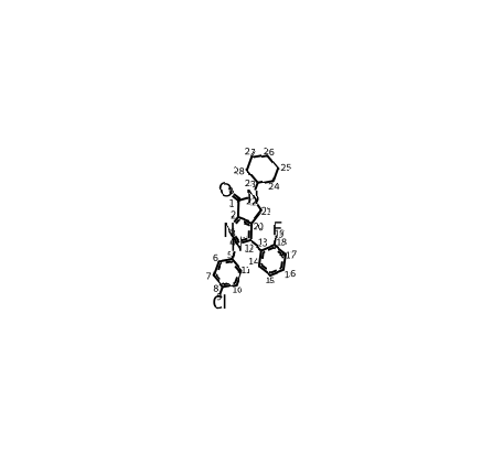 O=C1c2nn(-c3ccc(Cl)cc3)c(-c3ccccc3F)c2CN1C1CCCCC1